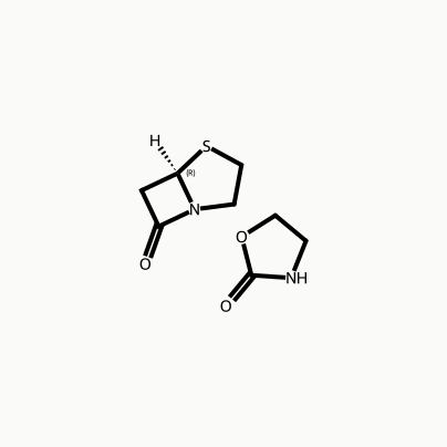 O=C1C[C@H]2SCCN12.O=C1NCCO1